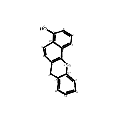 Oc1cccc2c3c(ccc12)Cc1ccccc1[Se]3